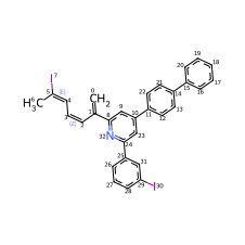 C=C(/C=C\C=C(/C)I)c1cc(-c2ccc(-c3ccccc3)cc2)cc(-c2cccc(I)c2)n1